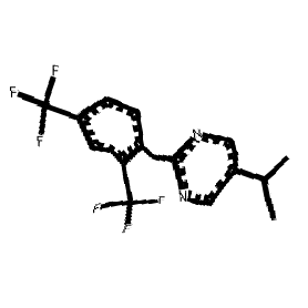 CC(C)c1cnc(-c2ccc(C(F)(F)F)cc2C(F)(F)F)nc1